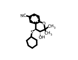 CC1(C)Oc2ccc(C#N)cc2[C@H](SC2CCCCC2)[C@H]1O